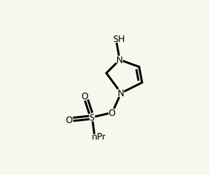 CCCS(=O)(=O)ON1C=CN(S)C1